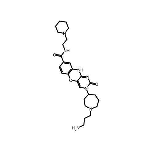 NCCCN1CCCC(n2cc3c(nc2=O)Nc2cc(C(=O)NCCN4CCCCC4)ccc2O3)CC1